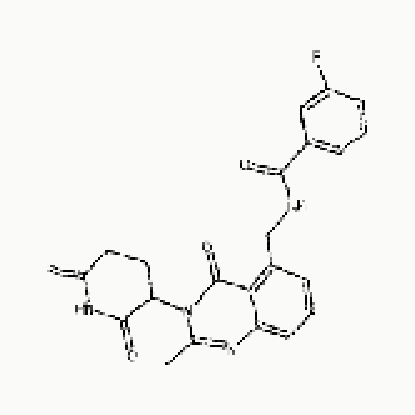 C=C1CCC(n2c(C)nc3cccc(CNC(=O)c4cccc(F)c4)c3c2=O)C(=O)N1